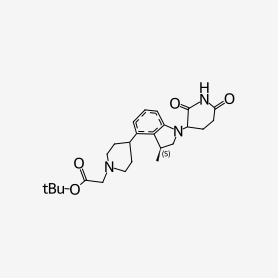 C[C@@H]1CN(C2CCC(=O)NC2=O)c2cccc(C3CCN(CC(=O)OC(C)(C)C)CC3)c21